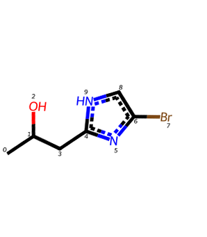 CC(O)Cc1nc(Br)c[nH]1